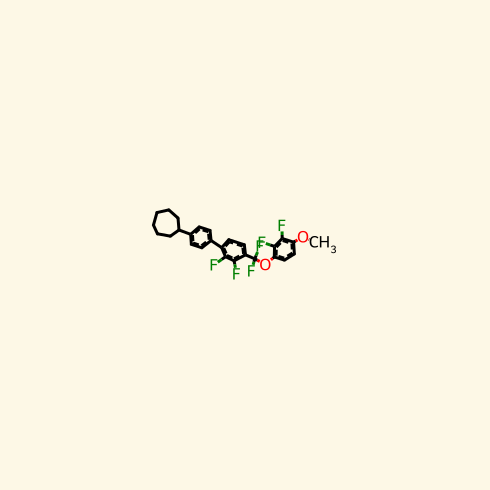 COc1ccc(OC(F)(F)c2ccc(-c3ccc(C4CCCCCC4)cc3)c(F)c2F)c(F)c1F